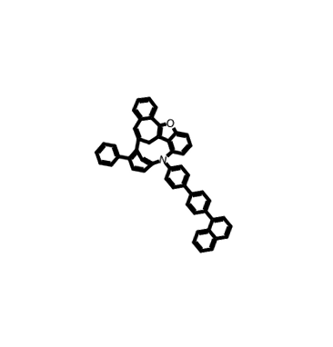 C1=C2Cc3c(oc4cccc(c34)N(c3ccc(-c4ccc(-c5cccc6ccccc56)cc4)cc3)c3ccc(-c4ccccc4)c2c3)-c2ccccc21